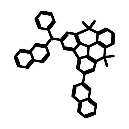 CC1(C)c2cccc3c2-n2c4c1cc(-c1ccc5ccccc5c1)cc4c1cc(N(c4ccccc4)c4ccc5ccccc5c4)cc(c12)C3(C)C